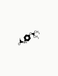 CC(C)Oc1ccc(NC(=O)I)cc1